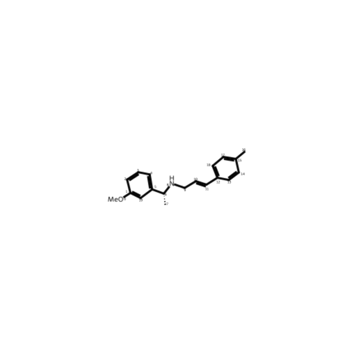 COc1cccc([C@@H](C)NCC=Cc2ccc(C)cc2)c1